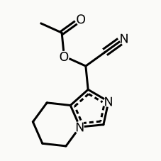 CC(=O)OC(C#N)c1ncn2c1CCCC2